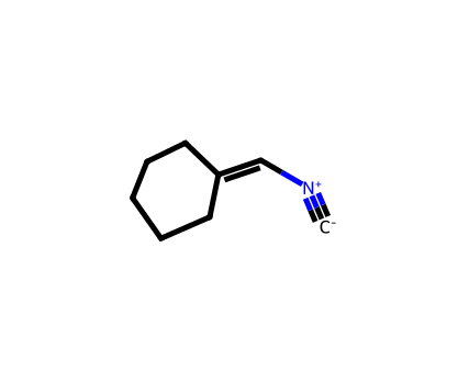 [C-]#[N+]C=C1CCCCC1